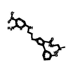 C[C@@H](O)CNC(=O)c1cn(CCCNc2ccc([N+](=O)[O-])c(N)n2)cc1-c1cccc(Cl)c1